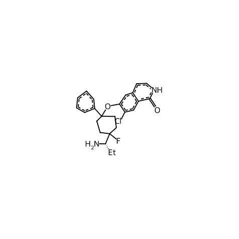 CC[C@H](N)C1(F)CCC(Oc2cc3cc[nH]c(=O)c3cc2Cl)(c2ccccc2)CC1